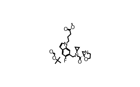 CC(C)(C)OC=O.COC(=O)CCCn1ccc2cc(F)c(CN(C(=O)[C@]34CN3CCO4)C3CC3)cc21